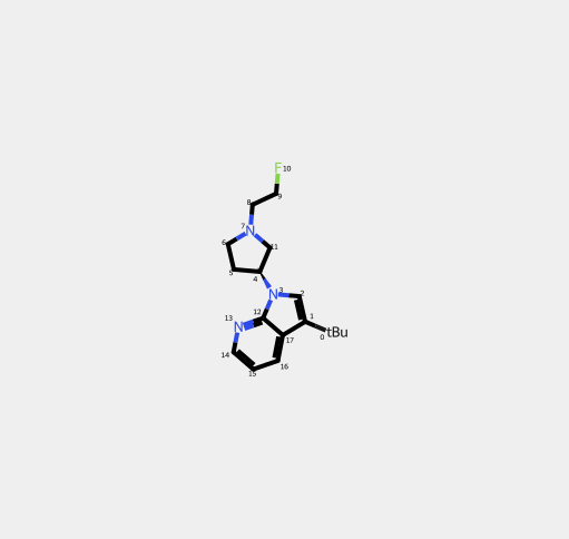 CC(C)(C)c1cn([C@H]2CCN(CCF)C2)c2ncccc12